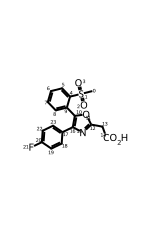 CS(=O)(=O)c1ccccc1-c1oc(CC(=O)O)nc1-c1ccc(F)cc1